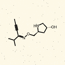 CC#C/C(=N\OC[C@@H]1C[C@@H](O)CN1)C(C)C